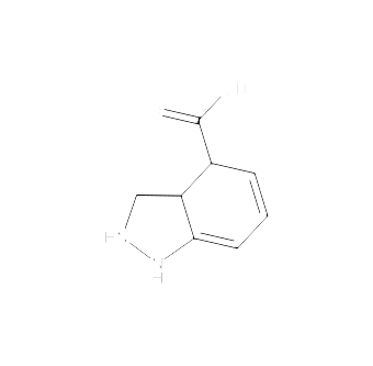 O=C(O)C1C=CC=C2NNCC21